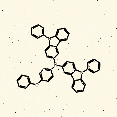 c1ccc(Oc2ccc(N(c3ccc4c(c3)c3ccccc3n4-c3ccccc3)c3ccc4c(c3)c3ccccc3n4-c3ccccc3)cc2)cc1